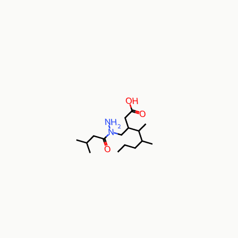 CCCC(C)C(C)C(CC(=O)O)CN(N)C(=O)CC(C)C